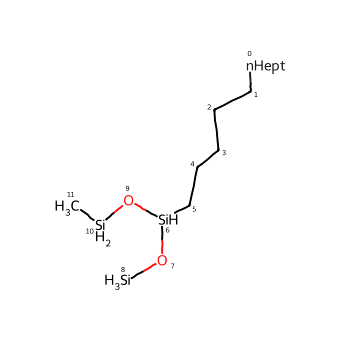 CCCCCCCCCCCC[SiH](O[SiH3])O[SiH2]C